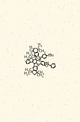 CC(C)(C)c1ccc(N2B3c4cc5nc(-c6ccccc6)oc5cc4-n4c5cc6c(cc5c5c7c(c(c3c54)-c3cc4c(cc32)C(C)(C)CCC4(C)C)C(C)(C)c2ccccc2-7)C(C)(C)CCC6(C)C)cc1